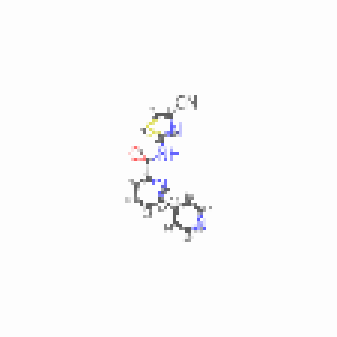 N#Cc1csc(NC(=O)c2cccc(-c3ccncc3)n2)n1